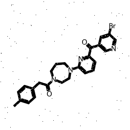 Cc1ccc(CC(=O)N2CCCN(c3cccc(C(=O)c4cncc(Br)c4)n3)CC2)cc1